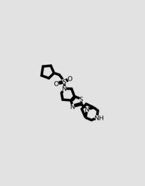 O=S(=O)(CC1CCCC1)N1CCc2nc(N3C4CCC3CNC4)sc2C1